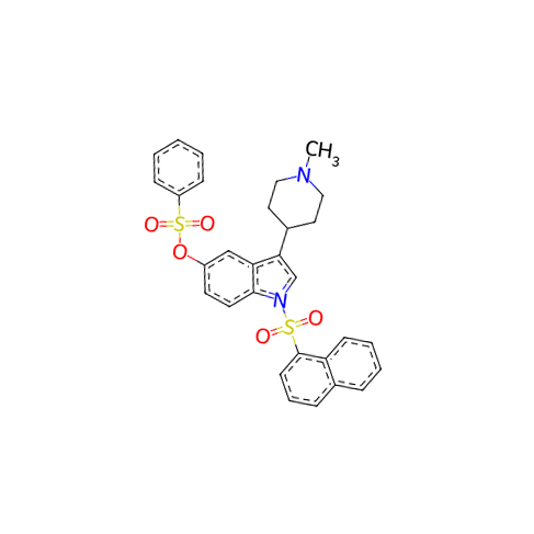 CN1CCC(c2cn(S(=O)(=O)c3cccc4ccccc34)c3ccc(OS(=O)(=O)c4ccccc4)cc23)CC1